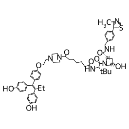 CCC(=C(c1ccc(O)cc1)c1ccc(OCCN2CCN(C(=O)CCCCCC(=O)NC(C(=O)N3C[C@H](O)C[C@H]3C(=O)NCc3ccc(-c4scnc4C)cc3)C(C)(C)C)CC2)cc1)c1ccc(O)cc1